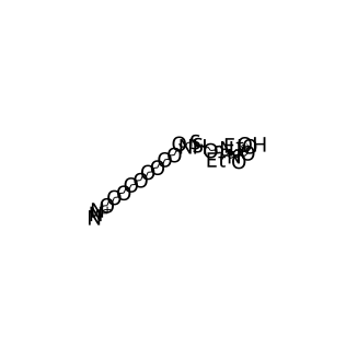 CCc1c2c(nc3ccc(OCCCSSC(C)(C)CNC(=O)CCOCCOCCOCCOCCOCCOCCOCCOCCOCCN=[N+]=[N-])cc13)-c1cc3c(c(=O)n1C2)COC(=O)[C@]3(O)CC